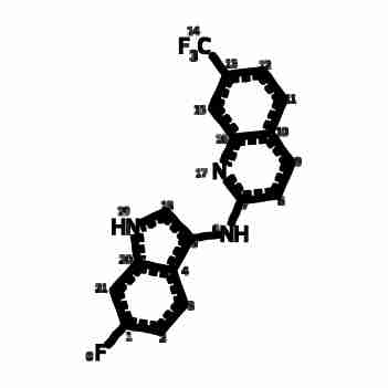 Fc1ccc2c(Nc3ccc4ccc(C(F)(F)F)cc4n3)c[nH]c2c1